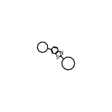 c1cc2nc(C3CCCCCCCCCC3)sc2cc1C1CCCCCCCC1